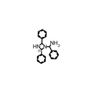 NC(c1ccccc1)N1C(c2ccccc2)N[C@@H]1c1ccccc1